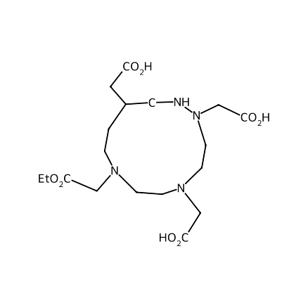 CCOC(=O)CN1CCC(CC(=O)O)CNN(CC(=O)O)CCN(CC(=O)O)CC1